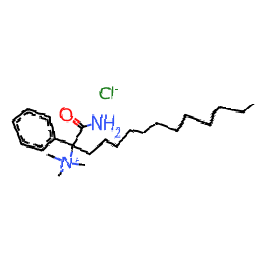 CCCCCCCCCCCCC(C(N)=O)(c1ccccc1)[N+](C)(C)C.[Cl-]